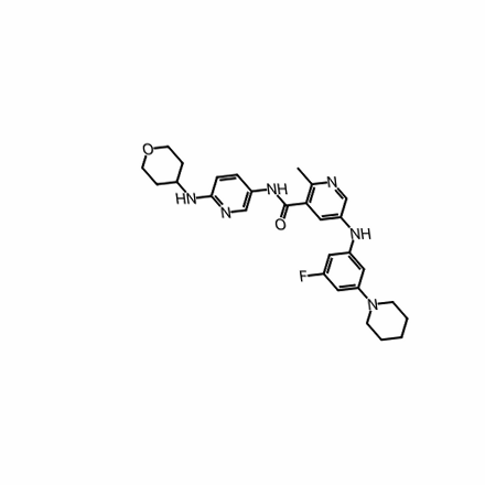 Cc1ncc(Nc2cc(F)cc(N3CCCCC3)c2)cc1C(=O)Nc1ccc(NC2CCOCC2)nc1